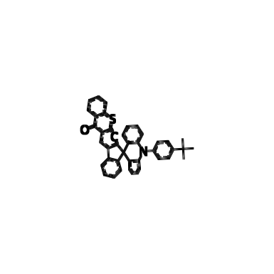 CC(C)(C)c1ccc(N2c3ccccc3C3(c4ccccc4-c4cc5c(=O)c6ccccc6sc5cc43)c3ccccc32)cc1